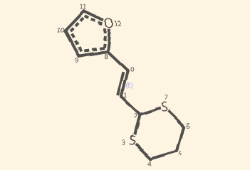 C(=C\C1SCCCS1)/c1ccco1